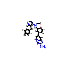 Cc1ncnc(N2CCOC3C=CC(c4ccn5nc(N)nc5c4)=CC3C2)c1Cc1ccc(F)cc1